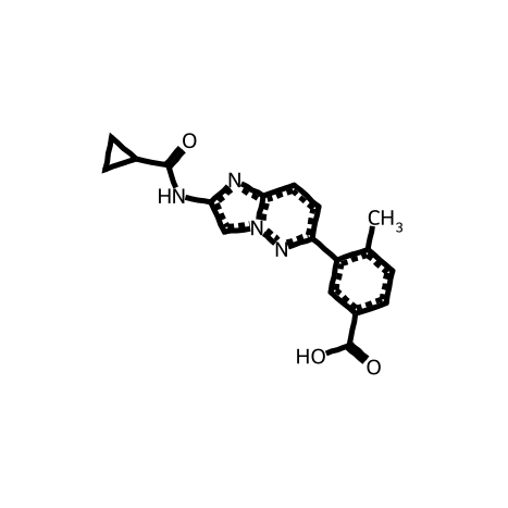 Cc1ccc(C(=O)O)cc1-c1ccc2nc(NC(=O)C3CC3)cn2n1